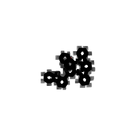 c1ccc(-c2nc(-c3cccc4c3oc3ccccc34)cc(-n3c4ccccc4c4ccc5c6ccccc6n(-c6ccccc6)c5c43)n2)cc1